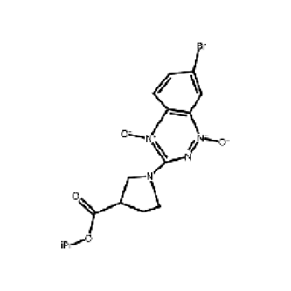 CC(C)OC(=O)C1CCN(c2n[n+]([O-])c3cc(Br)ccc3[n+]2[O-])C1